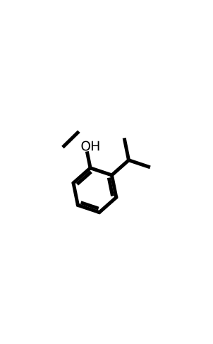 CC.CC(C)c1ccccc1O